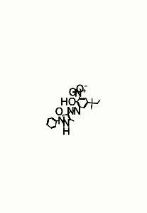 CCC(C)(C)c1cc(N=Nc2c(C)[nH]n(-c3ccccc3)c2=O)c(O)c([N+](=O)[O-])c1